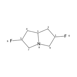 FC1CC2CC(F)CN2C1